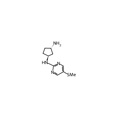 CSc1cnc(N[C@H]2CC[C@H](N)C2)nc1